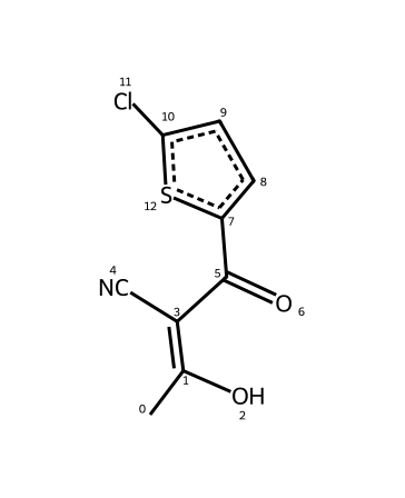 C/C(O)=C(\C#N)C(=O)c1ccc(Cl)s1